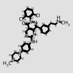 CNCCc1cccc(-c2nn(-c3c(Cl)cccc3Cl)c(=O)c3cnc(Nc4ccc(N5CCN(C)CC5)cc4)nc23)c1